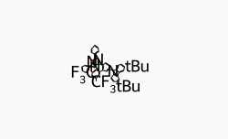 CC(C)(C)c1ccc2c(c1)c1cc(C(C)(C)C)ccc1n2-c1ccc(-c2nc(-c3ccccc3)nc(-c3ccccc3)n2)c(-c2cc(C(F)(F)F)cc(C(F)(F)F)c2)c1